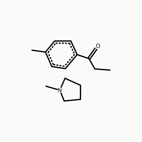 CCC(=O)c1ccc(C)cc1.CN1CCCC1